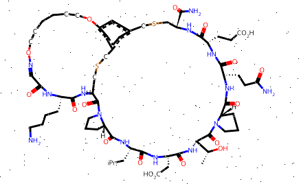 CC(C)C[C@@H]1NC(=O)[C@@H]2CCCN2C(=O)[C@@H]2CSCc3cc(cc(c3)OCCCCCCO/N=C/C(=O)N[C@@H](CCCCN)C(=O)N2)CSC[C@@H](C(N)=O)NC(=O)[C@H](CCC(=O)O)NC(=O)[C@H](CCC(N)=O)NC(=O)[C@@H]2CCCN2C(=O)[C@H]([C@@H](C)O)NC(=O)[C@H](CC(=O)O)NC1=O